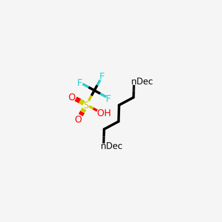 CCCCCCCCCCCCCCCCCCCCCCCC.O=S(=O)(O)C(F)(F)F